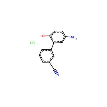 Cl.N#Cc1cccc(-c2cc(N)ccc2O)c1